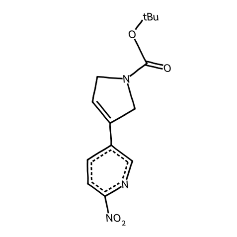 CC(C)(C)OC(=O)N1CC=C(c2ccc([N+](=O)[O-])nc2)C1